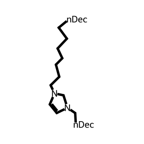 CCCCCCCCCCCCCCCCCN1C=CN(CCCCCCCCCCC)C1